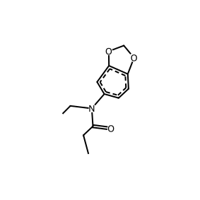 CCC(=O)N(CC)c1ccc2c(c1)OCO2